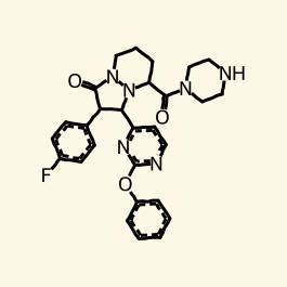 O=C(C1CCCN2C(=O)C(c3ccc(F)cc3)C(c3ccnc(Oc4ccccc4)n3)N12)N1CCNCC1